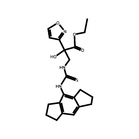 CCOC(=O)C(O)(CNC(=S)Nc1c2c(cc3c1CCC3)CCC2)c1ccon1